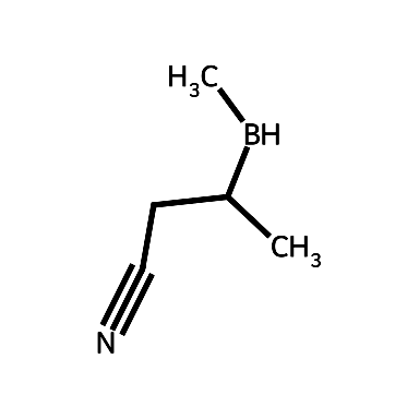 CBC(C)CC#N